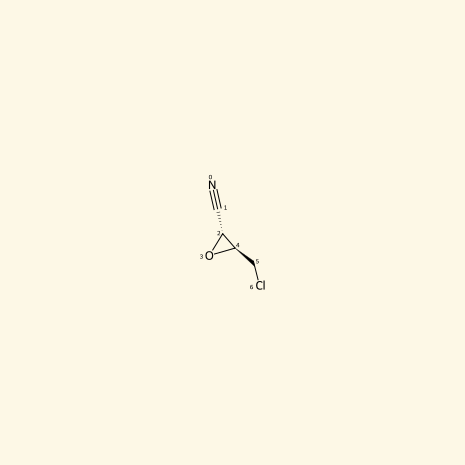 N#C[C@H]1O[C@@H]1CCl